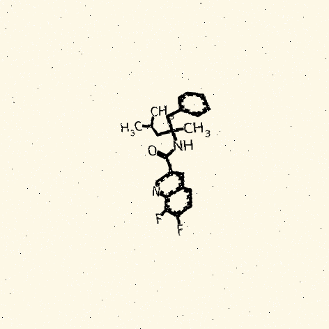 CC(C)CC(C)(Cc1ccccc1)NC(=O)c1cnc2c(F)c(F)ccc2c1